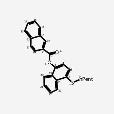 CCCCCSc1ccc(OC(=O)c2ccc3ccccc3c2)c2ccccc12